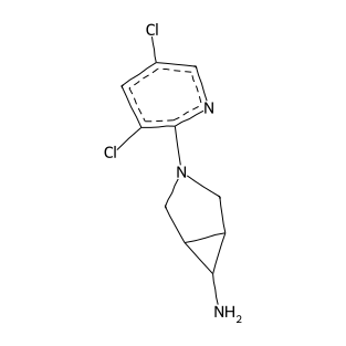 NC1C2CN(c3ncc(Cl)cc3Cl)CC12